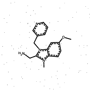 COc1ccc2c(c1)n(Cc1cccnc1)c(CN)[n+]2C